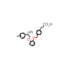 CCCC(COc1ccccc1OCc1ccc(CCC(=O)O)cc1)c1ccc(C)cc1